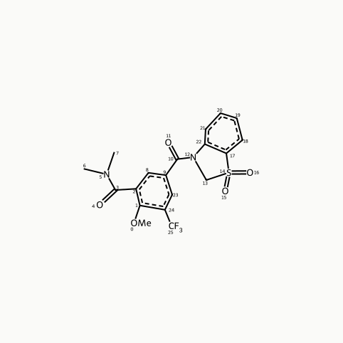 COc1c(C(=O)N(C)C)cc(C(=O)N2CS(=O)(=O)c3ccccc32)cc1C(F)(F)F